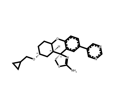 NC1=N[C@]2(CS1)c1cc(-c3cncnc3)ccc1OC1CC[C@@H](OCC3CC3)C[C@@H]12